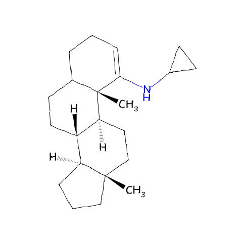 C[C@@]12CCC[C@H]1[C@@H]1CCC3CCC=C(NC4CC4)[C@]3(C)[C@H]1CC2